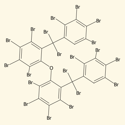 Brc1cc(C(Br)(Br)c2c(Br)c(Br)c(Br)c(Br)c2Oc2c(Br)c(Br)c(Br)c(Br)c2C(Br)(Br)c2cc(Br)c(Br)c(Br)c2Br)c(Br)c(Br)c1Br